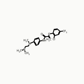 C=C(Oc1ccc(C(F)(F)F)cc1Cl)C(=O)Nc1ccc(N(C)CCN(C)C)cc1